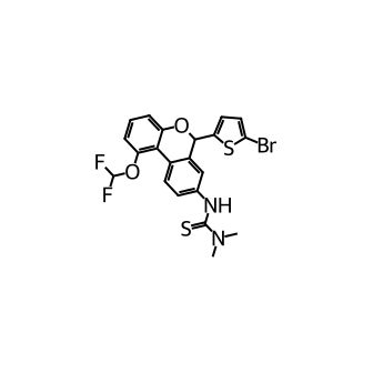 CN(C)C(=S)Nc1ccc2c(c1)C(c1ccc(Br)s1)Oc1cccc(OC(F)F)c1-2